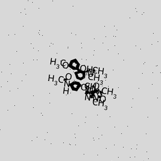 CC(=O)Nc1ccc(O)cc1.COc1cccc([C@@]2(O)CCCC[C@@H]2CN(C)C)c1.Cn1c(=O)c2c(ncn2C)n(C)c1=O